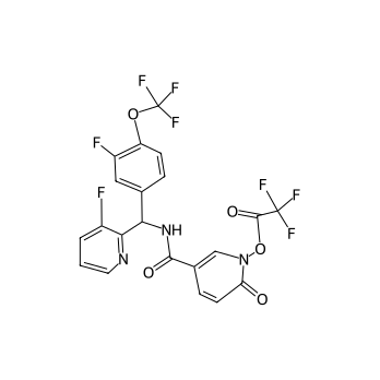 O=C(NC(c1ccc(OC(F)(F)F)c(F)c1)c1ncccc1F)c1ccc(=O)n(OC(=O)C(F)(F)F)c1